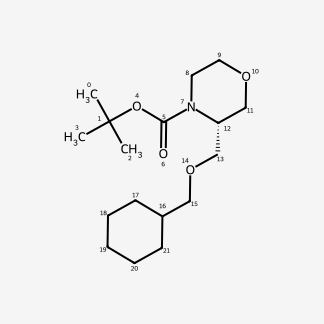 CC(C)(C)OC(=O)N1CCOC[C@@H]1COCC1CCCCC1